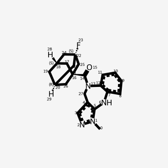 Cn1ncc2c1Nc1ccccc1N(C(=O)[C@@]13C[C@@H]4C[C@@H](C[C@@](F)(C4)C1)C3)C2